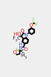 CC1(NC(=O)c2ccc3c(c2)[C@](O)(C(F)(F)F)C(=O)N3c2cccc(OC(F)F)c2)CCOS1